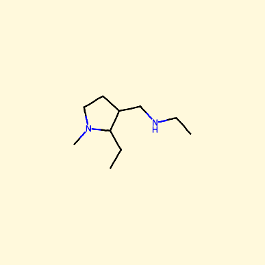 CCNCC1CCN(C)C1CC